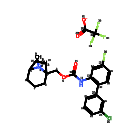 C[N+]1(C)C2CCCC1(COC(=O)Nc1cc(F)ccc1-c1cccc(Cl)c1)CC2.O=C([O-])C(F)(F)F